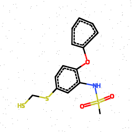 CS(=O)(=O)Nc1cc(SCS)ccc1Oc1ccccc1